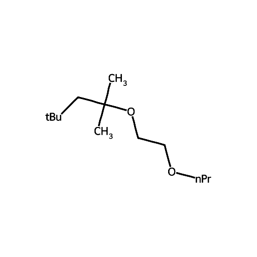 CCCOCCOC(C)(C)CC(C)(C)C